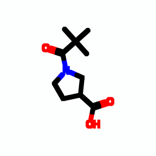 CC(C)(C)C(=O)N1CCC(C(=O)O)C1